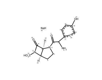 NC(C(=O)N1CC[C@@H]2[C@H]1C(=O)N2S(=O)(=O)O)c1ccc(O)cc1.[NaH]